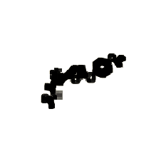 CC(=O)NC(C)c1cc(-c2ccc(Oc3ccc(OC(C)C)cc3)o2)no1